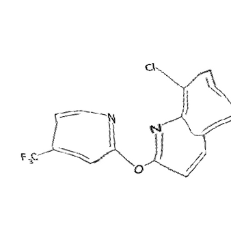 FC(F)(F)c1ccnc(Oc2ccc3cccc(Cl)c3n2)c1